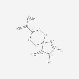 COC(=O)N1CCC2(CC1)N=C(C)N(C)C2=O